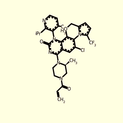 C=CC(=O)N1CCN(c2nc(=O)n(-c3c(C)ccnc3C(C)C)c3c4c(c(Cl)cc23)-n2c(ccc2C(F)(F)F)CO4)[C@@H](C)C1